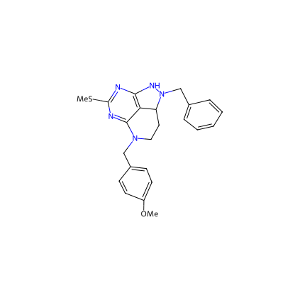 COc1ccc(CN2CCC3c4c(nc(SC)nc42)NN3Cc2ccccc2)cc1